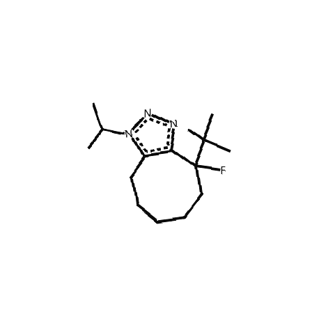 CC(C)n1nnc2c1CCCCCC2(F)C(C)(C)C